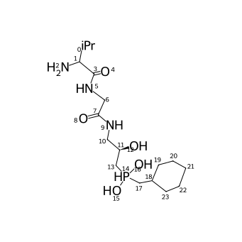 CC(C)C(N)C(=O)NCC(=O)NC[C@@H](O)C[PH](O)(O)CC1CCCCC1